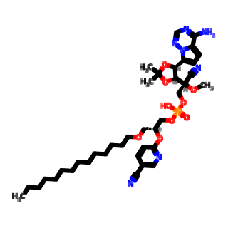 CCCCCCCCCCCCCCOC[C@H](COP(=O)(O)OC[C@@](C#N)(OC)[C@H]1OC(C)(C)O[C@H]1c1ccc2c(N)ncnn12)Oc1ccc(C#N)cn1